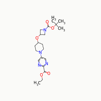 CCOC(=O)c1ncc(N2CCC(OC3CN(C(=O)OC(C)(C)C)C3)CC2)cn1